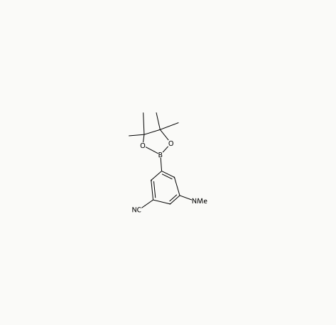 CNc1cc(C#N)cc(B2OC(C)(C)C(C)(C)O2)c1